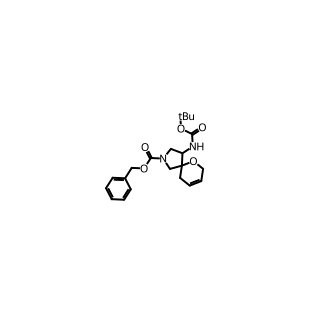 CC(C)(C)OC(=O)NC1CN(C(=O)OCc2ccccc2)CC12CC=CCO2